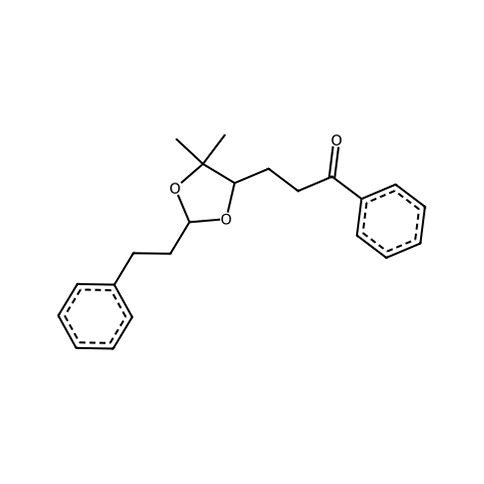 CC1(C)OC(CCc2ccccc2)OC1CCC(=O)c1ccccc1